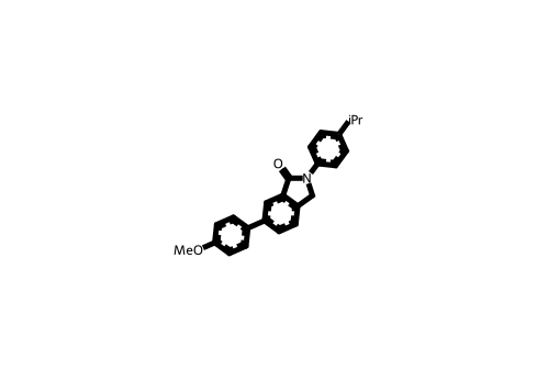 COc1ccc(-c2ccc3c(c2)C(=O)N(c2ccc(C(C)C)cc2)C3)cc1